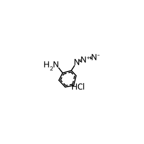 Cl.[N-]=[N+]=Nc1ccccc1N